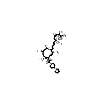 COC1(C)CCC(O)CC(=O)OC(/C=C/C=C/C(C)(O)CC2OC2C(C)C(O)C(C)C)C(C)/C=C/C1OC(=O)N1CCC(N2CCCC2)CC1